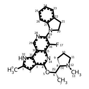 Cc1cc2c(O[C@@H](C)[C@@H]3CCCN3C)nc3c(F)c(N4CCc5ccccc54)ncc3c2[nH]1